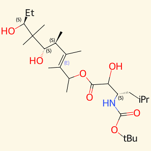 CC[C@H](O)C(C)(C)[C@@H](O)[C@@H](C)/C(C)=C(\C)C(C)OC(=O)C(O)[C@H](CC(C)C)NC(=O)OC(C)(C)C